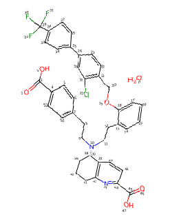 O.O=C(O)c1ccc(CCN(CCc2ccccc2OCc2ccc(-c3ccc(C(F)(F)F)cc3)cc2Cl)[C@H]2CCCc3nc(C(=O)O)ccc32)cc1